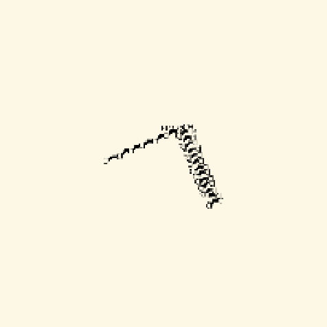 CCOC(C)=O.ClCCl.ClCCl.ClCCl.ClCCl.ClCCl.ClCCl.ClCCl.ClCCl.ClCCl.ClCCl.ClCCl.ClCCl.ClCCl.ClCCl.ClCCl.ClCCl.ClCCl.ClCCl.ClCCl